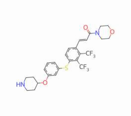 O=C(C=Cc1ccc(Sc2cccc(OC3CCNCC3)c2)c(C(F)(F)F)c1C(F)(F)F)N1CCOCC1